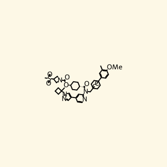 COc1ccc(C23CCC(CN(c4cc(-c5cnn(C6(C)CCC6)c5)ccn4)C(=O)[C@H]4CC[C@H](OC(=O)N5CC(S(C)(=O)=O)C5)CC4)(CC2)CC3)cc1C